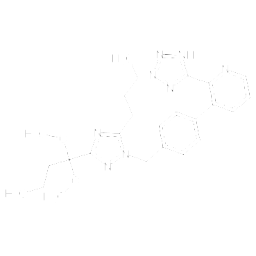 CCCCc1nc(C(CCC)(OC)OC)nn1Cc1ccc(-c2cccnc2-c2nnn[nH]2)cc1